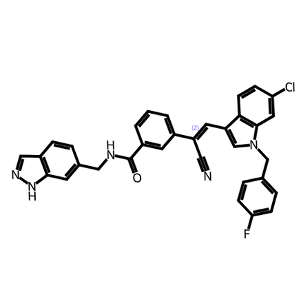 N#C/C(=C\c1cn(Cc2ccc(F)cc2)c2cc(Cl)ccc12)c1cccc(C(=O)NCc2ccc3cn[nH]c3c2)c1